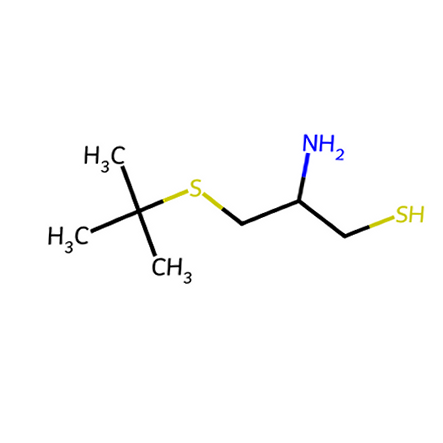 CC(C)(C)SCC(N)CS